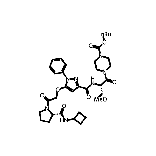 CCCCOC(=O)N1CCN(C(=O)[C@H](COC)NC(=O)c2cc(OCC(=O)N3CCC[C@H]3C(=O)NC3CCC3)n(-c3ccccc3)n2)CC1